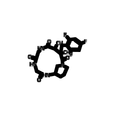 CC1C(=O)NCC(=O)NCC(=O)NC2CCCN(C2)C(=O)C1(C)Cc1c(F)cc(F)cc1F